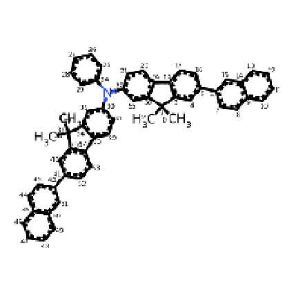 CC1(C)c2cc(-c3ccc4ccccc4c3)ccc2-c2ccc(N(c3ccccc3)c3ccc4c(c3)C(C)(C)c3cc(-c5ccc6ccccc6c5)ccc3-4)cc21